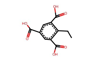 C[CH]c1c(C(=O)O)cc(C(=O)O)cc1C(=O)O